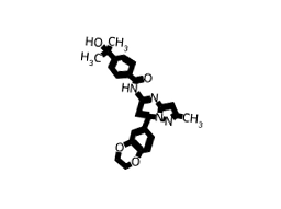 Cc1cc2nc(NC(=O)c3ccc(C(C)(C)O)cc3)cc(-c3ccc4c(c3)OCCO4)n2n1